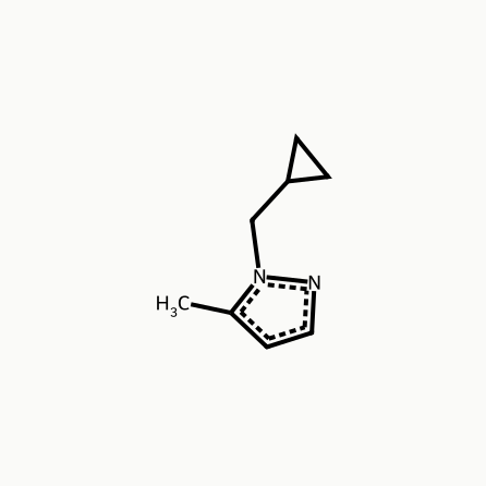 Cc1ccnn1CC1CC1